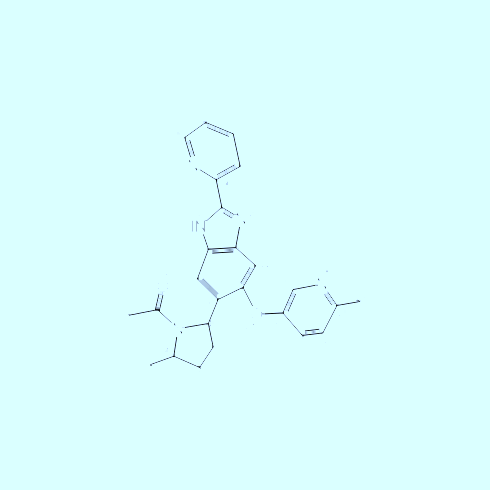 CC(=O)N1C(C)CCC1c1cc2[nH]c(-c3ccccn3)nc2cc1Oc1ccc(C)nc1